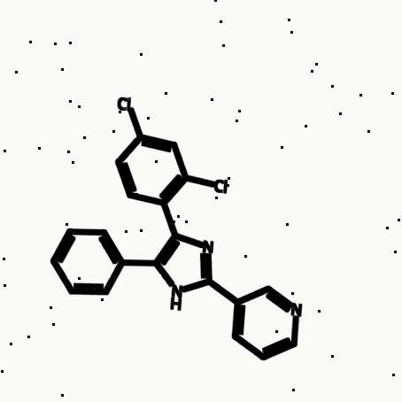 Clc1ccc(-c2nc(-c3cccnc3)[nH]c2-c2ccccc2)c(Cl)c1